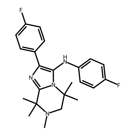 CN1CC(C)(C)n2c(nc(-c3ccc(F)cc3)c2Nc2ccc(F)cc2)C1(C)C